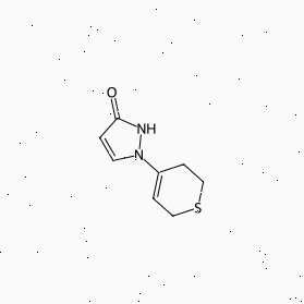 O=c1ccn(C2=CCSCC2)[nH]1